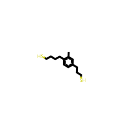 Cc1cc(CCCS)ccc1CCCCS